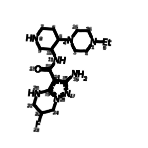 CCN1CCN(C2CCNCC2NC(=O)c2c(N)nn3c2NCC(F)C3)CC1